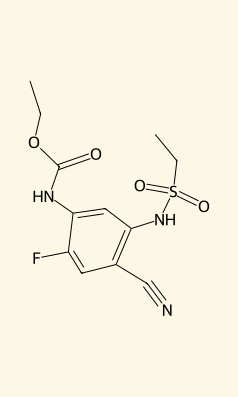 CCOC(=O)Nc1cc(NS(=O)(=O)CC)c(C#N)cc1F